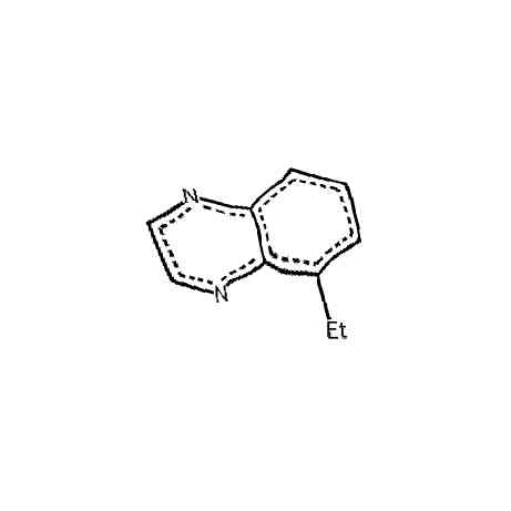 CCc1cccc2nccnc12